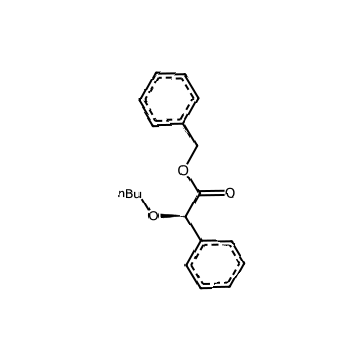 CCCCO[C@@H](C(=O)OCc1ccccc1)c1ccccc1